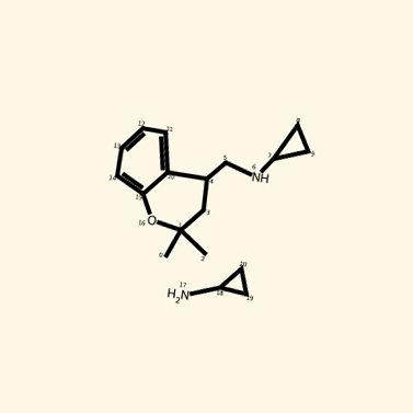 CC1(C)CC(CNC2CC2)c2ccccc2O1.NC1CC1